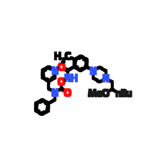 CCCCC(CN1CCN(c2ccc(C)c(C(=O)NOC(=O)N(Cc3ccccc3)Cc3cccnc3)c2)CC1)OC